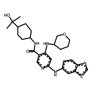 CC(C)(O)C1CCC(NC(=O)c2cnc(Nc3ccc4ncsc4c3)cc2NC2CCCOC2)CC1